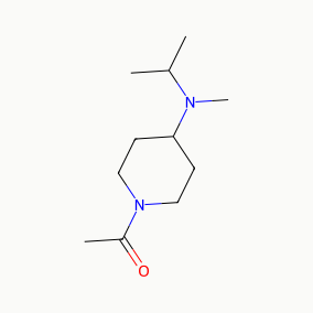 CC(=O)N1CCC(N(C)C(C)C)CC1